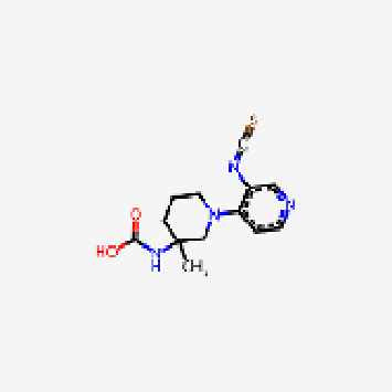 CC1(NC(=O)O)CCCN(c2ccncc2N=C=S)C1